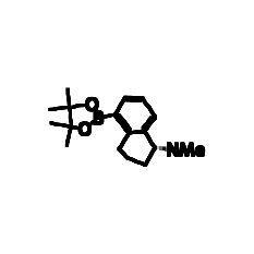 CN[C@@H]1CCCc2c(B3OC(C)(C)C(C)(C)O3)cccc21